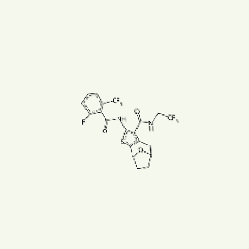 O=C(Nc1sc2c(c1C(=O)NCC(F)(F)F)CC1CCC2O1)c1c(F)cccc1C(F)(F)F